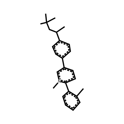 Cc1ccccc1-c1ccc(-c2ccc(C(C)CC(C)(C)C)cc2)c[n+]1C